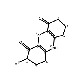 O=C1CCCC2=C1[N]C1=C(CCC(I)C1=O)N2